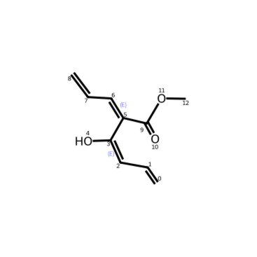 C=C/C=C(O)\C(=C/C=C)C(=O)OC